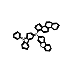 C1=CCC2C(=C1)C=Cc1c2ccc2c(N(c3ccc4c(c3)sc3ccccc34)c3ccc4c(c3)c3ccccc3n4-c3ccccc3)cccc12